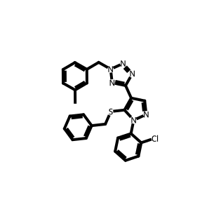 Cc1cccc(Cn2nnc(-c3cnn(-c4ccccc4Cl)c3SCc3ccccc3)n2)c1